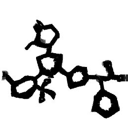 C[C@H]1COCCN1c1cc(-c2cc(F)ccc2S(C)(=O)=O)nc(-c2ccc(N(C(=O)O)c3ccccc3)cc2)n1